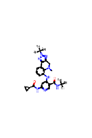 [2H]C([2H])([2H])NC(=O)c1cnc(NC(=O)C2CC2)cc1Nc1cccc2c1N(C)Cc1nn(C([2H])([2H])[2H])nc1-2